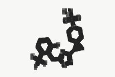 NS(=O)(=O)N1CCC2(CC1)C[C@H]2c1noc(Cc2c(F)cccc2C(F)(F)F)n1